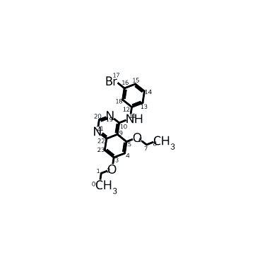 CCOc1cc(OCC)c2c(Nc3cccc(Br)c3)ncnc2c1